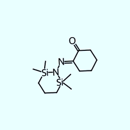 C[Si]1(C)CCC[Si](C)(C)N1N=C1CCCCC1=O